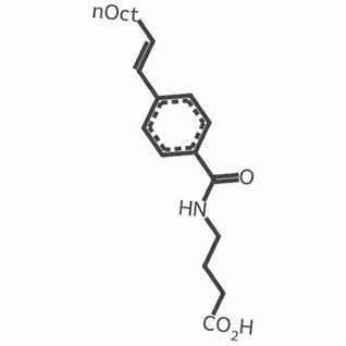 CCCCCCCCC=Cc1ccc(C(=O)NCCCC(=O)O)cc1